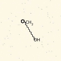 C=C(CCCCCCCCCCCCCO)c1ccccc1